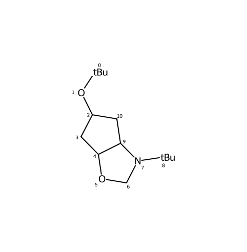 CC(C)(C)OC1CC2OCN(C(C)(C)C)C2C1